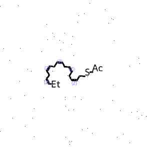 CC/C=C\C/C=C\C/C=C\C/C=C\C/C=C\CCSCC(C)=O